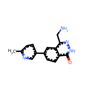 Cc1ccc(-c2ccc3c(=O)[nH]nc(CN)c3c2)cn1